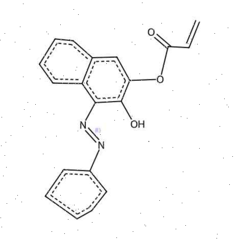 C=CC(=O)Oc1cc2ccccc2c(/N=N/c2ccccc2)c1O